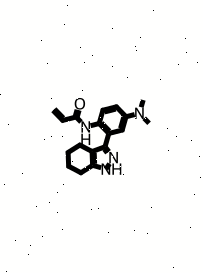 C=CC(=O)Nc1ccc(N(C)C)cc1-c1n[nH]c2c1CCCC2